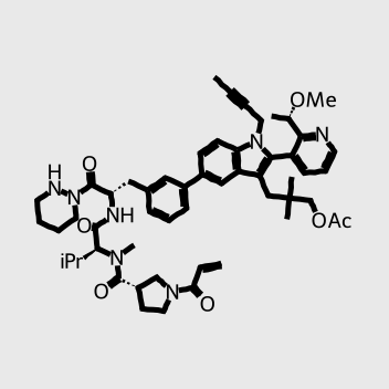 C=CC(=O)N1CC[C@H](C(=O)N(C)[C@H](C(=O)N[C@@H](Cc2cccc(-c3ccc4c(c3)c(CC(C)(C)COC(C)=O)c(-c3cccnc3[C@H](C)OC)n4CC#CC)c2)C(=O)N2CCCCN2)C(C)C)C1